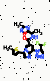 Cc1noc(C(C)NC(=O)c2cc(-n3nncc3C(F)F)c3ncc(-c4ccc(C)s4)n3c2)n1